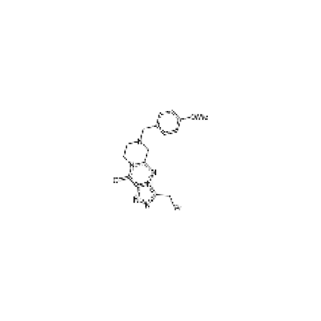 COc1ccc(CN2CCn3c(nn4c(CC(C)C)nnc4c3=O)C2)cc1